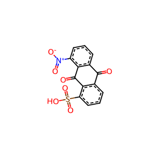 O=C1c2cccc([N+](=O)[O-])c2C(=O)c2c1cccc2S(=O)(=O)O